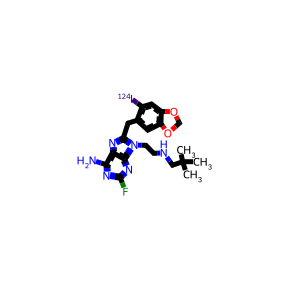 CC(C)(C)CNCCn1c(Cc2cc3c(cc2[124I])OCO3)nc2c(N)nc(F)nc21